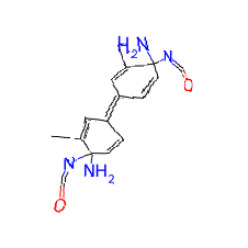 CC1=C/C(=C2/C=CC(N)(N=C=O)C(C)=C2)C=CC1(N)N=C=O